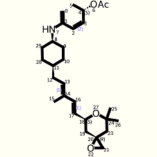 C=C(/C=C\[C@H](C)OC(C)=O)N[C@H]1CC[C@@H](C/C=C(C)/C=C/[C@@H]2C[C@]3(CO3)CC(C)(C)O2)CC1